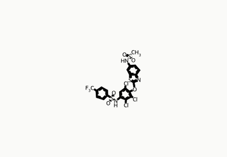 CS(=O)(=O)Nc1ccc2nc(Oc3c(Cl)cc(NS(=O)(=O)c4ccc(C(F)(F)F)cc4)c(Cl)c3Cl)sc2c1